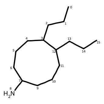 CCCC1CCCC(N)CCCC1CCC